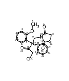 COc1ccccc1[N+](CN1C(=O)CSC1=O)(C(=O)CCl)c1ccccc1